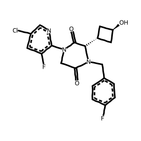 O=C1C([C@H]2C[C@H](O)C2)N(Cc2ccc(F)cc2)C(=O)CN1c1ncc(Cl)cc1F